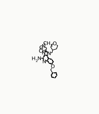 CON(C)Cc1nc2c(N)nc3cc(OCc4ccccc4)ccc3c2n1CC1CCOCC1